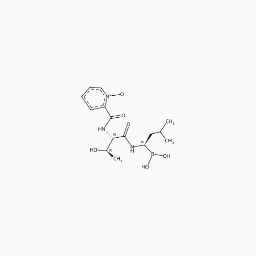 CC(C)C[C@H](NC(=O)[C@@H](NC(=O)c1cccc[n+]1[O-])[C@@H](C)O)B(O)O